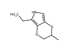 CC1COc2c(c[nH]c2CC(=O)O)O1